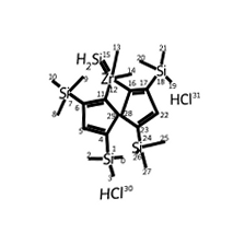 C[Si](C)(C)C1=CC([Si](C)(C)C)=[C]([Zr]([CH3])([CH3])(=[SiH2])[C]2=C([Si](C)(C)C)C=C([Si](C)(C)C)C2)C1.Cl.Cl